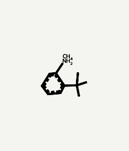 C.CC(C)(C)c1ccccc1N